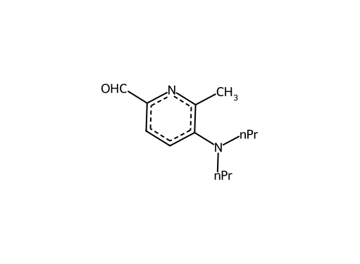 CCCN(CCC)c1ccc(C=O)nc1C